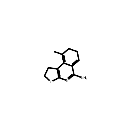 CC1=c2c3c(nc(N)c2=CCC1)OCC3